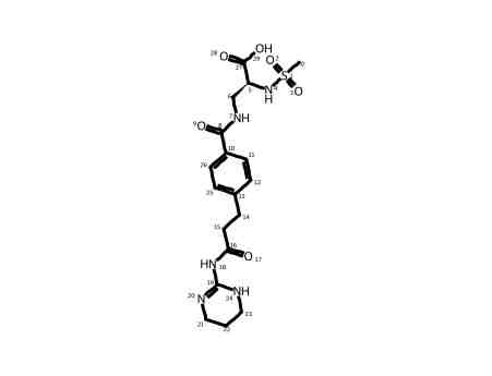 CS(=O)(=O)N[C@@H](CNC(=O)c1ccc(CCC(=O)NC2=NCCCN2)cc1)C(=O)O